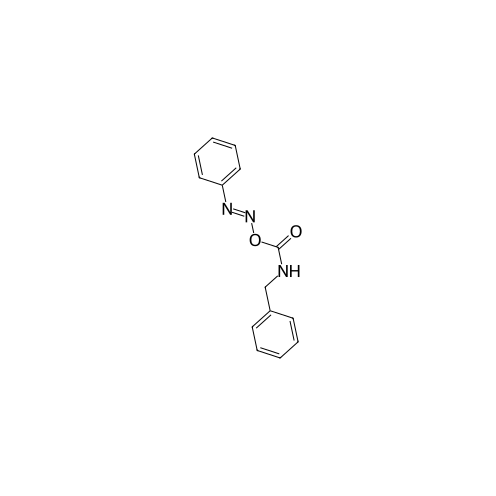 O=C(NCc1ccccc1)ON=Nc1ccccc1